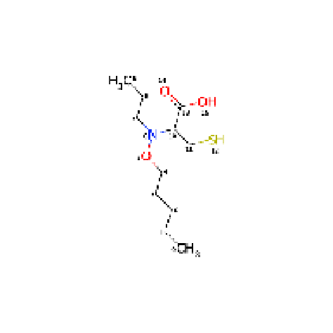 CCCCCON(CCC)C(CS)C(=O)O